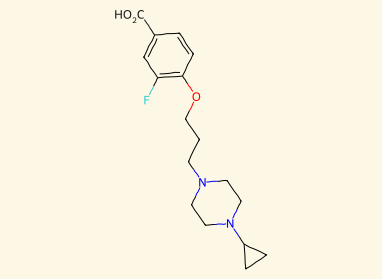 O=C(O)c1ccc(OCCCN2CCN(C3CC3)CC2)c(F)c1